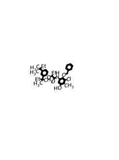 CCC(Oc1ccc(C(C)(C)CC)cc1C(C)(C)CC)C(=O)Nc1cc(O)c(C)c(Cl)c1OCc1ccccc1